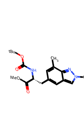 COC(=O)[C@@H](Cc1cc(C)c2nn(C)cc2c1)NC(=O)OC(C)(C)C